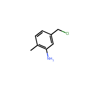 Cc1ccc(CCl)cc1N